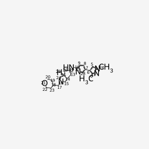 Cc1nn(C)cc1-c1ccc(N[C@H]2CC3CN(CC4CCOCC4)C[C@@H]3C2)nc1